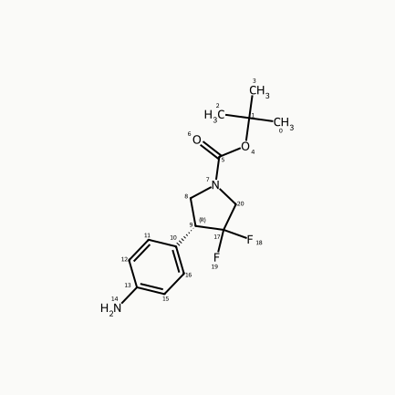 CC(C)(C)OC(=O)N1C[C@@H](c2ccc(N)cc2)C(F)(F)C1